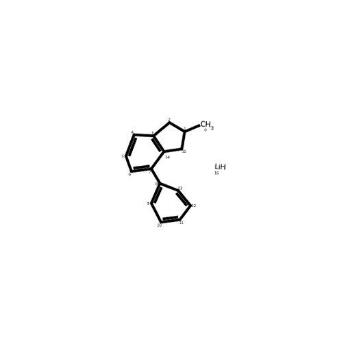 CC1Cc2cccc(-c3ccccc3)c2C1.[LiH]